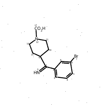 N=C(c1cccc(Br)c1)C1CCN(C(=O)O)CC1